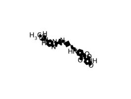 CN1C[C@H]2C[C@@H]1CN2c1ccc2ncc(-c3cnn([C@H]4C[C@@H](CCCNc5ccc6c(c5)C(=O)N(C5CCC(=O)NC5=O)C6=O)C4)c3)nc2c1